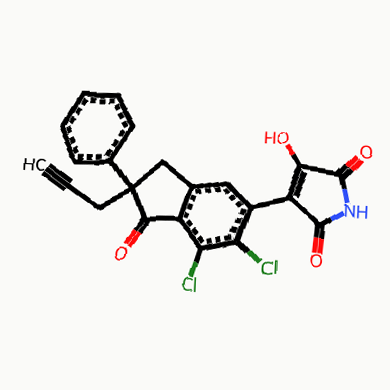 C#CCC1(c2ccccc2)Cc2cc(C3=C(O)C(=O)NC3=O)c(Cl)c(Cl)c2C1=O